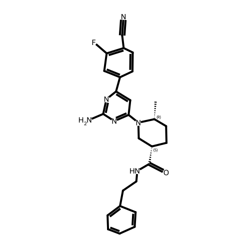 C[C@@H]1CC[C@H](C(=O)NCCc2ccccc2)CN1c1cc(-c2ccc(C#N)c(F)c2)nc(N)n1